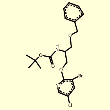 CC(C)(C)OC(=O)NC(COCc1ccccc1)COc1ncc(Cl)cc1Br